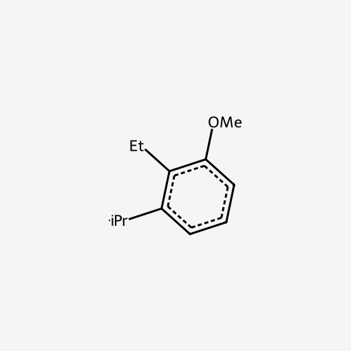 CCc1c(OC)cccc1[C](C)C